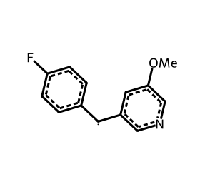 COc1cncc([CH]c2ccc(F)cc2)c1